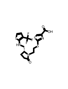 O=C(O)c1csc(SCCN2C(=O)CC[C@@H]2CNc2sccc2C(F)(F)F)n1